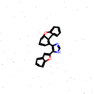 [c]1nc(-c2cccc3oc4ccccc4c23)c(-c2cc3ccccc3o2)[nH]1